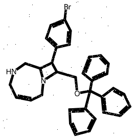 Brc1ccc(C2C3CNCC=CCN3C2COC(c2ccccc2)(c2ccccc2)c2ccccc2)cc1